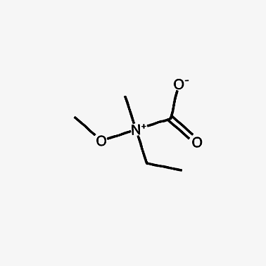 CC[N+](C)(OC)C(=O)[O-]